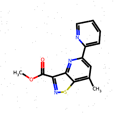 COC(=O)c1nsc2c(C)cc(-c3ccccn3)nc12